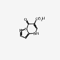 O=C(O)c1c[nH]c2ccnn2c1=O